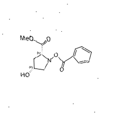 COC(=O)[C@H]1C[C@@H](O)CN1OC(=O)c1ccccc1